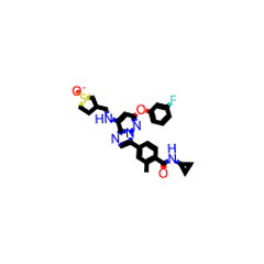 Cc1cc(-c2cnc3c(NCC4CC[S+]([O-])C4)cc(Oc4cccc(F)c4)nn23)ccc1C(=O)NC1CC1